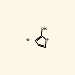 Br.O=Cc1ccc[nH]1